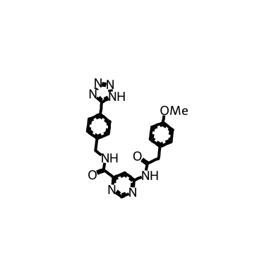 COc1ccc(CC(=O)Nc2cc(C(=O)NCc3ccc(-c4nnn[nH]4)cc3)ncn2)cc1